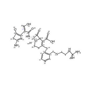 N=C(N)NCCSCc1cnccc1SC1=C(C(=O)O)N2C(=O)[C@@H](NC(=O)/C(=N\O)c3nc(N)sc3Cl)[C@@H]2SC1